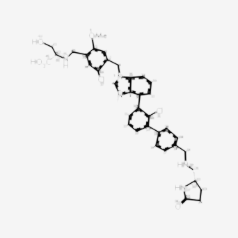 COc1cc(Cn2cnc3c(-c4cccc(-c5ccc(CNC[C@@H]6CCC(=O)N6)cc5)c4Cl)cccc32)c(Cl)cc1CN[C@@H](CO)C(=O)O